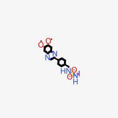 COc1cc2ncc(-c3ccc(CNS(=O)(=O)NI)cc3)nc2cc1OC